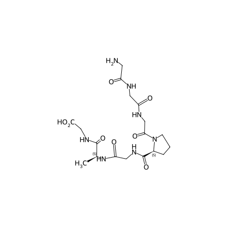 C[C@H](NC(=O)CNC(=O)[C@@H]1CCCN1C(=O)CNC(=O)CNC(=O)CN)C(=O)NCC(=O)O